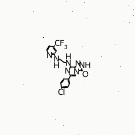 O=c1[nH]nc2c(NCCNc3cc(C(F)(F)F)ccn3)nc(-c3ccc(Cl)cc3)cn12